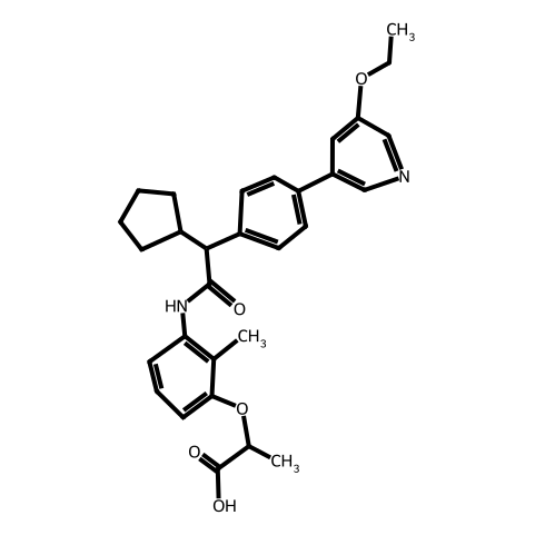 CCOc1cncc(-c2ccc(C(C(=O)Nc3cccc(OC(C)C(=O)O)c3C)C3CCCC3)cc2)c1